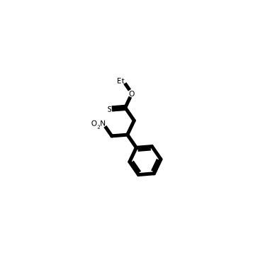 CCOC(=S)CC(C[N+](=O)[O-])c1ccccc1